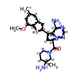 COc1cc(C)cc2cc(-c3cc(C(=O)N4CCC[C@](C)(N)C4)n4ncnc(N)c34)sc12